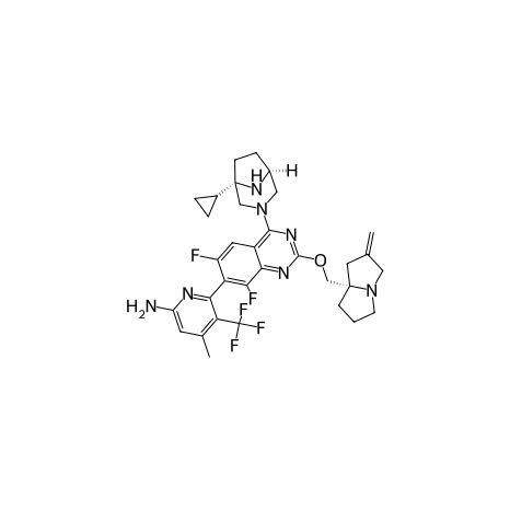 C=C1CN2CCC[C@@]2(COc2nc(N3C[C@@H]4CC[C@](C5CC5)(C3)N4)c3cc(F)c(-c4nc(N)cc(C)c4C(F)(F)F)c(F)c3n2)C1